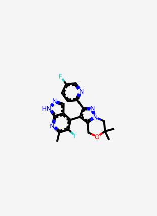 Cc1nc2[nH]ncc2c(-c2c(-c3ccc(F)cn3)nn3c2COC(C)(C)C3)c1F